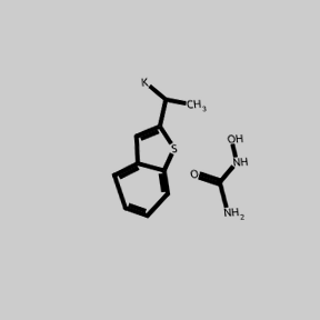 C[CH]([K])c1cc2ccccc2s1.NC(=O)NO